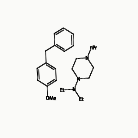 CCCN1CCN(N(CC)CC)CC1.COc1ccc(Cc2ccccc2)cc1